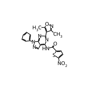 Cc1noc(C)c1-c1nc(NC(=O)c2ccc([N+](=O)[O-])s2)c2cnn(-c3ccccc3)c2n1